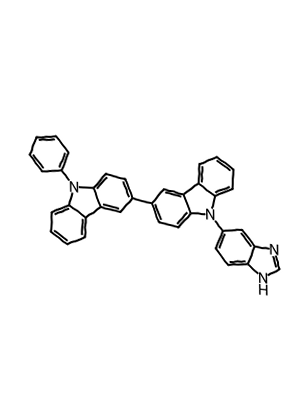 c1ccc(-n2c3ccccc3c3cc(-c4ccc5c(c4)c4ccccc4n5-c4ccc5[nH]cnc5c4)ccc32)cc1